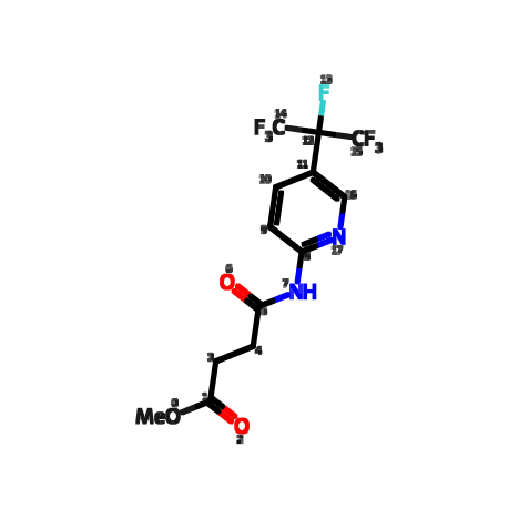 COC(=O)CCC(=O)Nc1ccc(C(F)(C(F)(F)F)C(F)(F)F)cn1